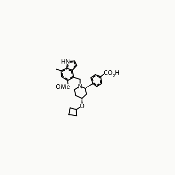 COc1cc(C)c2[nH]ccc2c1CN1CC[C@H](OC2CCC2)C[C@@H]1c1ccc(C(=O)O)cc1